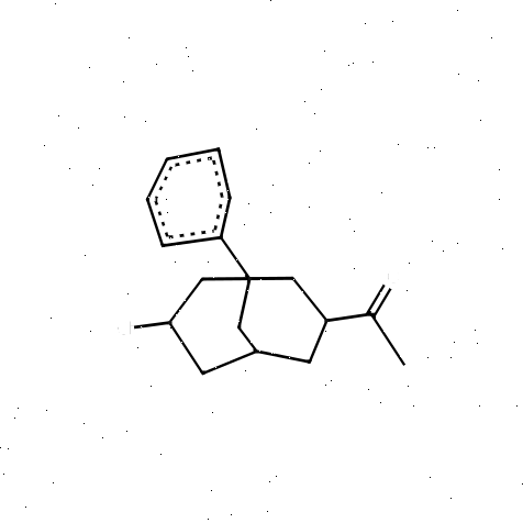 CC(=O)C1CC2CC(Cl)CC(c3ccccc3)(C2)C1